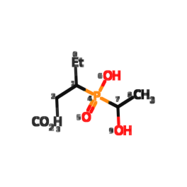 CCC(CC(=O)O)P(=O)(O)C(C)O